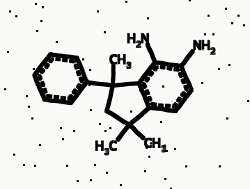 CC1(C)CC(C)(c2ccccc2)c2c1ccc(N)c2N